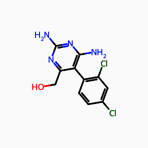 Nc1nc(N)c(-c2ccc(Cl)cc2Cl)c(CO)n1